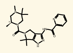 C[C@H]1CN(C)C(C)(C)CN1C(=O)N1Cc2c(NC(=O)c3ccccn3)n[nH]c2C1(C)C